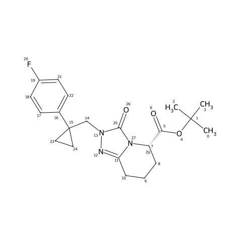 CC(C)(C)OC(=O)[C@@H]1CCCc2nn(CC3(c4ccc(F)cc4)CC3)c(=O)n21